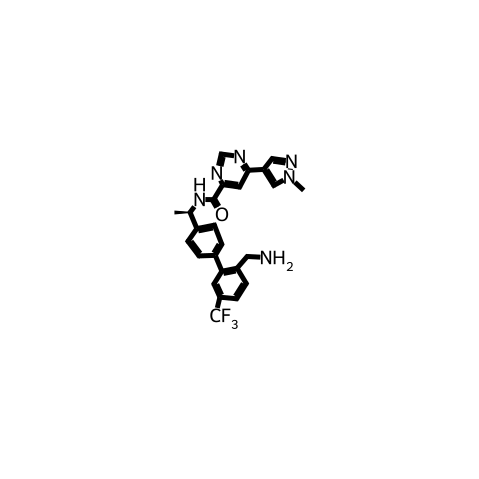 C[C@@H](NC(=O)c1cc(-c2cnn(C)c2)ncn1)c1ccc(-c2cc(C(F)(F)F)ccc2CN)cc1